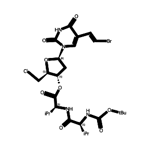 CC(C)[C@H](NC(=O)OC(C)(C)C)C(=O)N[C@H](C(=O)O[C@H]1C[C@H](n2cc(C=CBr)c(=O)[nH]c2=O)O[C@@H]1CCl)C(C)C